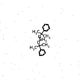 CC(C)(O[SiH2]OC(C)(C)c1ccccc1)c1ccccc1